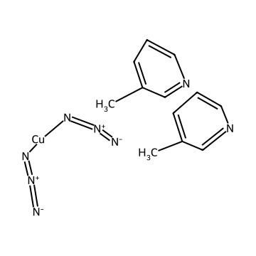 Cc1cccnc1.Cc1cccnc1.[N-]=[N+]=[N][Cu][N]=[N+]=[N-]